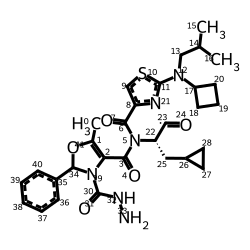 CC1=C(C(=O)N(C(=O)c2csc(N(CC(C)C)C3CCC3)n2)[C@H]([C]=O)CC2CC2)N(C(=O)NN)C(c2ccccc2)O1